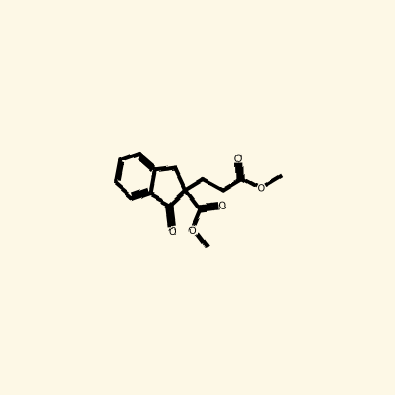 COC(=O)CCC1(C(=O)OC)Cc2ccccc2C1=O